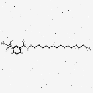 CCCCCCCCCCCCCCCCOC(=O)c1cccc(S([NH])(=O)=O)c1